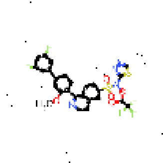 COc1cc(-c2cc(F)cc(F)c2)ccc1-c1nccc2cc(S(=O)(=O)N(OC(=O)C(F)(F)F)c3nncs3)ccc12